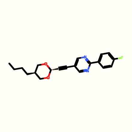 CCCC[C@H]1CO[C@H](C#Cc2cnc(-c3ccc(F)cc3)nc2)OC1